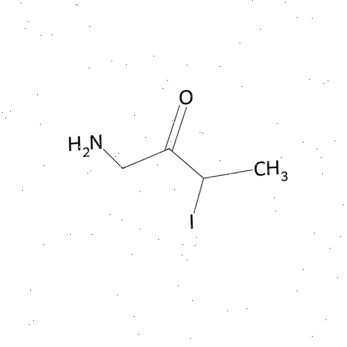 CC(I)C(=O)CN